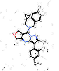 COc1ccc(-c2c(C)nn3c(N(Cc4ccc(C(F)(F)F)cc4)CC4CC4)c4c(nc23)COC4)c(C)c1